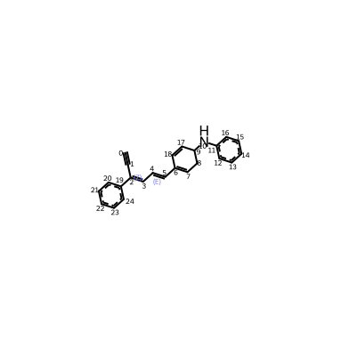 C#C/C(=C\C=C\C1=CCC(Nc2ccccc2)C=C1)c1ccccc1